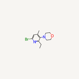 CCc1nc(Br)cc(C)c1N1CCOCC1